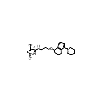 Nc1n[s+]([O-])nc1NCCCOC1CCCc2c1cccc2N1CCCCC1